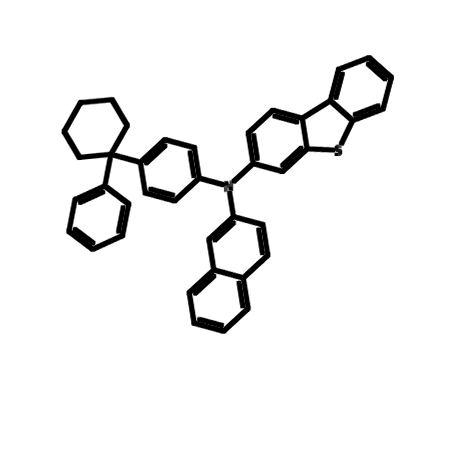 c1ccc(C2(c3ccc(N(c4ccc5ccccc5c4)c4ccc5c(c4)sc4ccccc45)cc3)CCCCC2)cc1